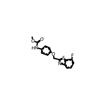 COC(=O)Nc1ccc(OCc2nc3cccc(F)c3s2)cc1